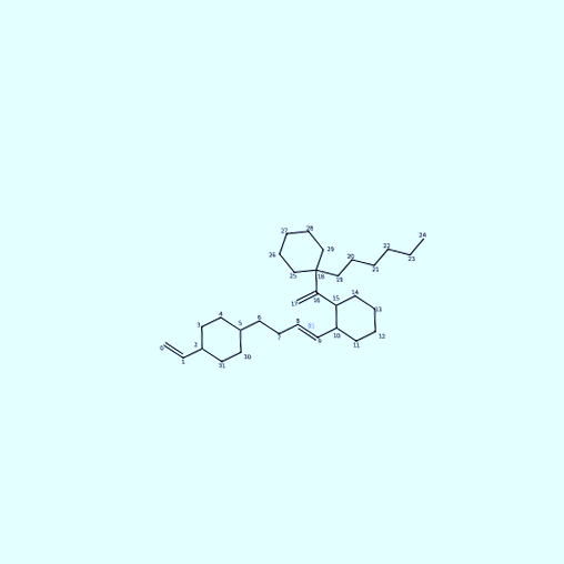 C=CC1CCC(CC/C=C/C2CCCCC2C(=C)C2(CCCCCC)CCCCC2)CC1